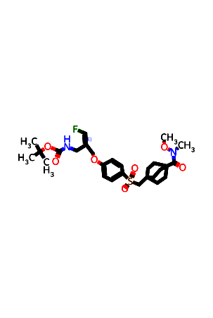 CON(C)C(=O)C12CCC(CS(=O)(=O)c3ccc(OC/C(=C/F)CNC(=O)OC(C)(C)C)cc3)(CC1)CC2